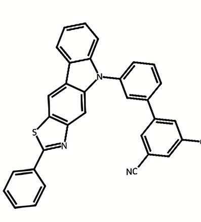 N#Cc1cc(C#N)cc(-c2cccc(-n3c4ccccc4c4cc5sc(-c6ccccc6)nc5cc43)c2)c1